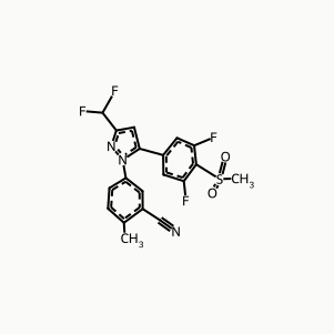 Cc1ccc(-n2nc(C(F)F)cc2-c2cc(F)c(S(C)(=O)=O)c(F)c2)cc1C#N